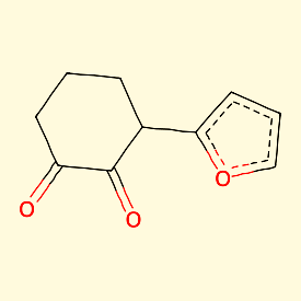 O=C1CCCC(c2ccco2)C1=O